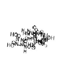 CN1[C@H](CCCNC(=O)c2ccc(NC(=O)CN3CCN(CC(=O)O)CCN(CC(=O)O)CCN(CC(=O)O)CC3)cc2)C(=O)N[C@@H](CCCNC(=N)N)C(=O)N[C@@H](Cc2ccc3ccccc3c2)C(=O)NCC(=O)N[C@]1(C=O)Cc1ccc(O)cc1